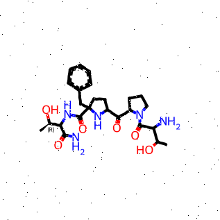 CC(O)C(N)C(=O)N1CCCC1C(=O)C1CCC(Cc2ccccc2)(C(=O)NC(C(N)=O)[C@@H](C)O)N1